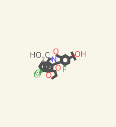 CC(C)(O)c1cc(F)c2c(c1)C(=O)N(C(C(=O)O)c1ccc(Cl)cc1)[C@@]2(O[C@H]1CCOC1)c1ccc(Cl)cc1